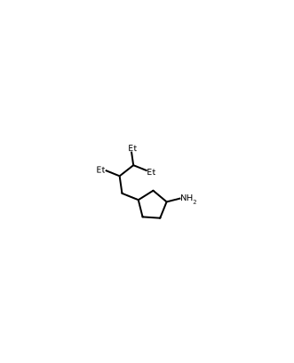 CCC(CC)C(CC)CC1CCC(N)C1